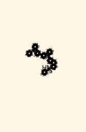 c1ccc(C2Nc3c(ccc4ccc5cc(-n6c7ccccc7c7cc(-c8ccc9c(c8)c8ccccc8n9-c8ccccc8)ccc76)ccc5c34)S2)cc1